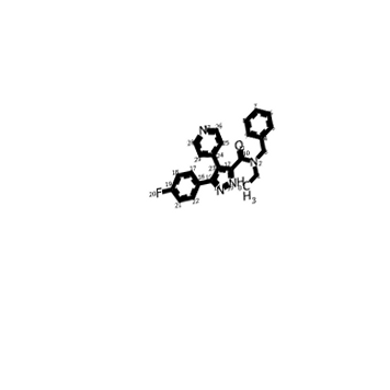 CCN(Cc1ccccc1)C(=O)c1[nH]nc(-c2ccc(F)cc2)c1-c1ccncc1